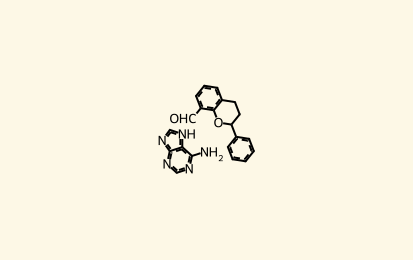 Nc1ncnc2nc[nH]c12.O=Cc1cccc2c1OC(c1ccccc1)CC2